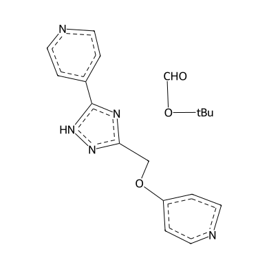 CC(C)(C)OC=O.c1cc(OCc2n[nH]c(-c3ccncc3)n2)ccn1